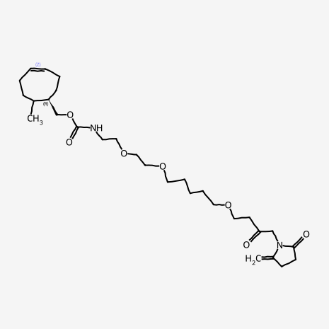 C=C1CCC(=O)N1CC(=O)CCOCCCCCOCCOCCNC(=O)OC[C@@H]1CC/C=C\CCC1C